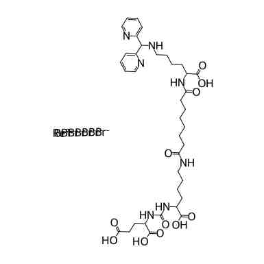 O=C(O)CCC(NC(=O)NC(CCCCNC(=O)CCCCCCC(=O)NC(CCCCNC(c1ccccn1)c1ccccn1)C(=O)O)C(=O)O)C(=O)O.[Br-].[Br-].[Br-].[Br-].[Br-].[Br-].[Br-].[Re+7]